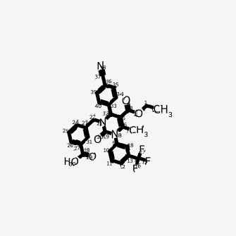 CCOC(=O)C1=C(C)N(c2cccc(C(F)(F)F)c2)C(=O)N(Cc2cccc(C(=O)O)c2)C1c1ccc(C#N)cc1